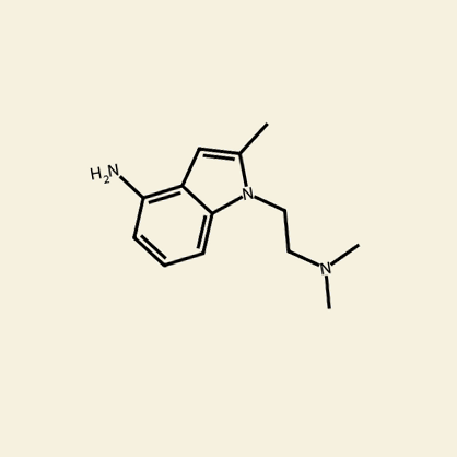 Cc1cc2c(N)cccc2n1CCN(C)C